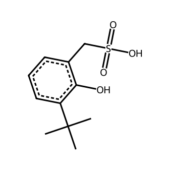 CC(C)(C)c1cccc(CS(=O)(=O)O)c1O